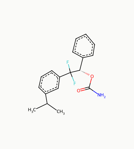 CC(C)c1cccc(C(F)(F)[C@@H](OC(N)=O)c2ccccc2)c1